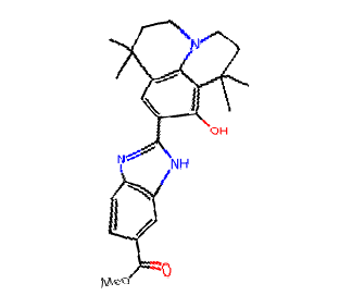 COC(=O)c1ccc2nc(-c3cc4c5c(c3O)C(C)(C)CCN5CCC4(C)C)[nH]c2c1